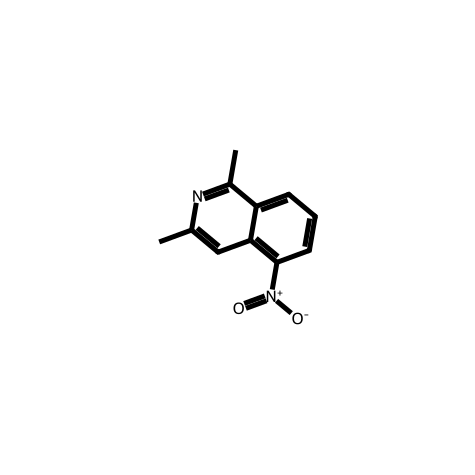 Cc1cc2c([N+](=O)[O-])cccc2c(C)n1